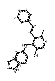 Cc1ncc(C#N)c(Nc2ccc3[nH]ccc3c2)c1/C=C/c1ccccc1